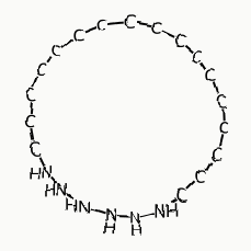 C1CCCCCCCCNNNNNNCCCCCCCC1